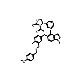 COc1ccc(COCc2cc([C@@H](CC(=O)N3C(=O)OC[C@@H]3c3ccccc3)c3ccc4c(cnn4C)c3C)ccc2C)cc1